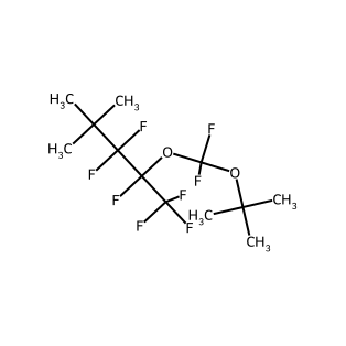 CC(C)(C)OC(F)(F)OC(F)(C(F)(F)F)C(F)(F)C(C)(C)C